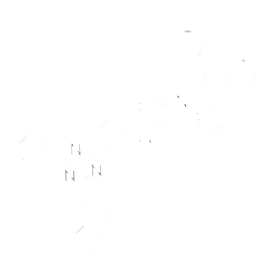 c1ccc(-c2nc(-c3ccc4ccccc4c3)nc(-c3ccc4c(c3)oc3cc(-n5c6ccccc6c6c(-c7ccccc7)c7ccccc7cc65)ccc34)n2)cc1